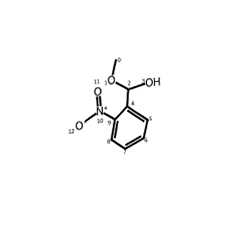 COC(O)c1ccccc1[N+](=O)[O-]